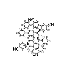 N#Cc1ccc2c(c1)-c1cc(C#N)cc3c1B2c1cc2c(-c4ccccc4-c4ccccc4)cc4c5c(cc6c(-c7ccccc7-c7ccccc7)cc-3c1c6c25)B1c2ccc(C#N)cc2-c2cc(C#N)cc-4c21